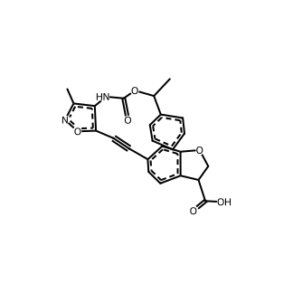 Cc1noc(C#Cc2ccc3c(c2)OCC3C(=O)O)c1NC(=O)OC(C)c1ccccc1